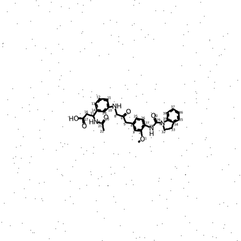 COc1cc(CC(=O)CNc2cccc(C(CC(=O)O)NC(C)=O)c2)ccc1NC(=O)N1CCc2ccccc21